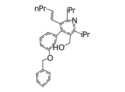 CCCC=Cc1c(C(C)C)nc(C(C)C)c(CO)c1-c1cccc(OCc2ccccc2)c1